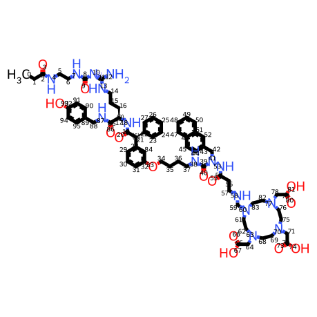 CCC(=O)NCCNC(=O)/N=C(/N)NCCC[C@@H](NC(=O)[C@@H](c1ccccc1)c1cccc(OCCCCNC(=O)N(Cc2ccc3ccccc3c2)NC(=O)CCNCN2CCN(CC(=O)O)CCN(CC(=O)O)CCN(CC(=O)O)CC2)c1)C(=O)NCc1ccc(O)cc1